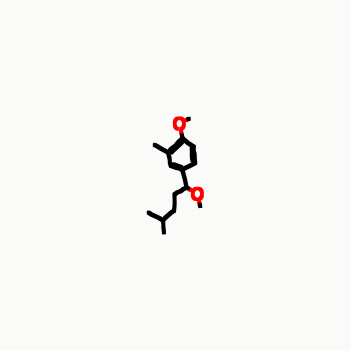 COc1ccc(C(CCC(C)C)OC)cc1C